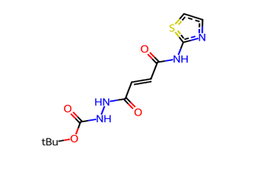 CC(C)(C)OC(=O)NNC(=O)/C=C/C(=O)Nc1nccs1